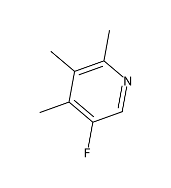 Cc1ncc(F)c(C)c1C